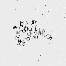 Cc1csc(COC(=O)NC(CNC(=O)OC2CCOC2)C(=O)NC(CC(C)C)C(O)CC(C)C(=O)NC(C(=O)NCC(C)C)C(C)C)n1